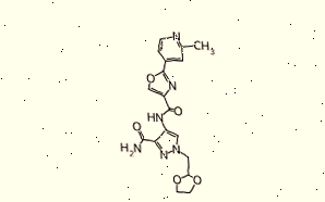 Cc1cc(-c2nc(C(=O)Nc3cn(CC4OCCO4)nc3C(N)=O)co2)ccn1